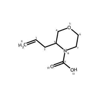 C=CCC1COCCN1C(=O)O